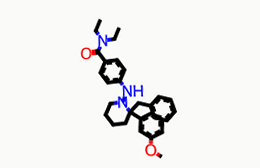 CCN(CC)C(=O)c1ccc(NN2CCCCC2(Cc2ccccc2)c2cccc(OC)c2)cc1